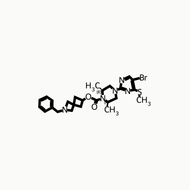 CSc1nc(N2C[C@@H](C)N(C(=O)OC3CC4(C3)CN(Cc3ccccc3)C4)[C@H](C)C2)ncc1Br